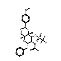 COc1ccc(C2OC[C@H]3O[C@@H](Sc4ccccc4)[C@H](OC(C)=O)[C@H](OS(=O)(=O)C(F)(F)F)[C@H]3O2)cc1